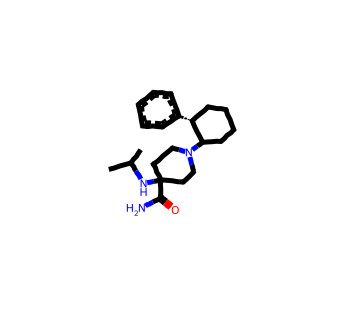 CC(C)NC1(C(N)=O)CCN(C2CCCC[C@H]2c2ccccc2)CC1